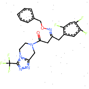 O=C(CC(Cc1cc(F)c(F)cc1F)=NOCc1ccccc1)N1CCn2c(nnc2C(F)(F)F)C1